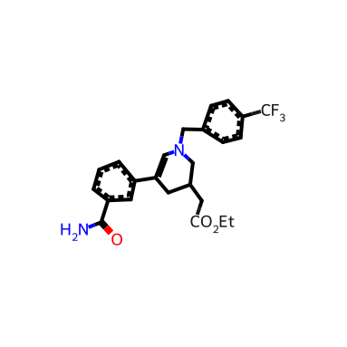 CCOC(=O)CC1CC(c2cccc(C(N)=O)c2)=CN(Cc2ccc(C(F)(F)F)cc2)C1